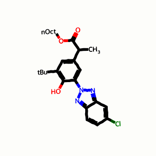 CCCCCCCCOC(=O)C(C)c1cc(-n2nc3ccc(Cl)cc3n2)c(O)c(C(C)(C)C)c1